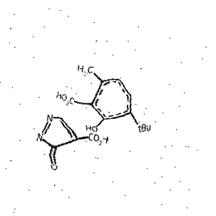 Cc1ccc(C(C)(C)C)c(O)c1C(=O)O.O=C(O)C1=CN=NC1=O